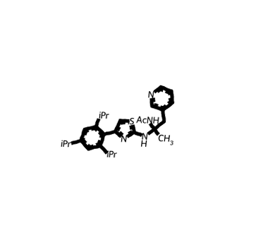 CC(=O)NC(C)(Cc1cccnc1)Nc1nc(-c2c(C(C)C)cc(C(C)C)cc2C(C)C)cs1